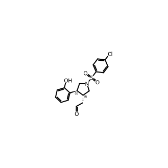 O=CC[C@H]1CN(S(=O)(=O)c2ccc(Cl)cc2)C[C@@H]1c1ccccc1O